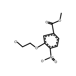 COC(=O)c1ccc([N+](=O)[O-])c(OCCCl)c1